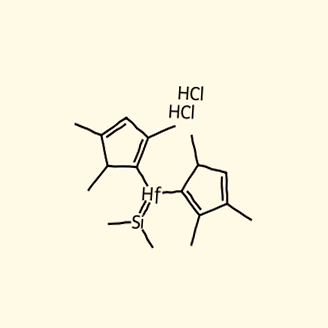 CC1=CC(C)[C]([Hf]([C]2=C(C)C=C(C)C2C)=[Si](C)C)=C1C.Cl.Cl